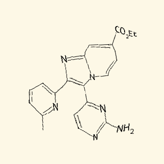 CCOC(=O)c1ccn2c(-c3ccnc(N)n3)c(-c3cccc(C)n3)nc2c1